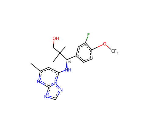 Cc1cc(N[C@H](c2ccc(OC(F)(F)F)c(F)c2)C(C)(C)CO)n2ncnc2n1